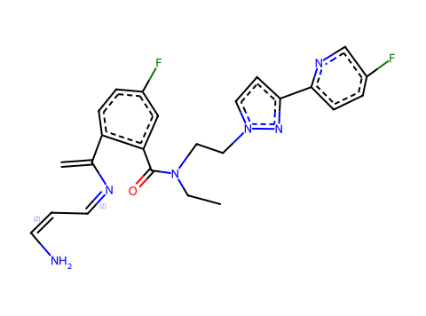 C=C(/N=C\C=C/N)c1ccc(F)cc1C(=O)N(CC)CCn1ccc(-c2ccc(F)cn2)n1